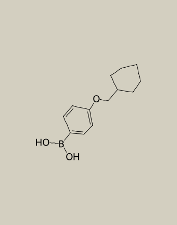 OB(O)c1ccc(OCC2CCCCC2)cc1